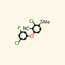 CSc1ccc(Oc2cc(F)cc(Cl)c2)c(C#N)c1Cl